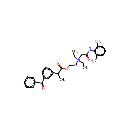 CC[N+](CC)(CCOC(=O)C(C)c1cccc(C(=O)c2ccccc2)c1)CC(=O)Nc1c(C)cccc1C